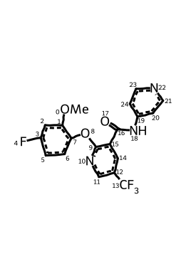 COc1cc(F)ccc1Oc1ncc(C(F)(F)F)cc1C(=O)Nc1ccncc1